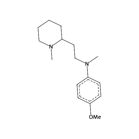 COc1ccc(N(C)CCC2CCCCN2C)cc1